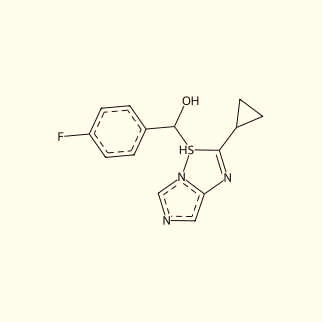 OC(c1ccc(F)cc1)[SH]1C(C2CC2)=Nc2cncn21